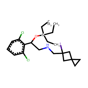 CC[Si](CC)(CC)OC(CNCC1(I)CC2(CC2)C1)c1c(Cl)cccc1Cl